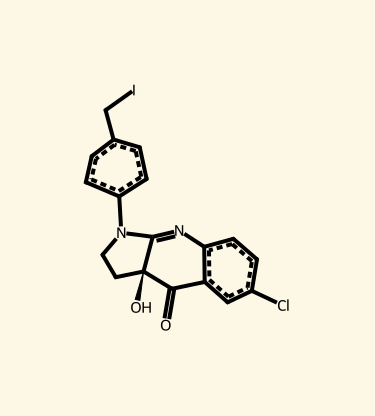 O=C1c2cc(Cl)ccc2N=C2N(c3ccc(CI)cc3)CC[C@@]12O